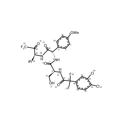 COc1ccc([C@H](NC(=O)[C@H](CO)NC(=O)C(F)(F)c2ccc(Cl)c(Cl)c2)C(=O)N[C@H](C(=O)C(F)(F)F)C(C)C)cc1